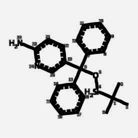 CC(C)(C)[SiH2]OC(c1ccccc1)(c1ccccc1)c1ccc(N)nc1